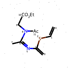 C=CSC(=C)/N=C(/C)N(CC(=O)OCC)C(C)=O